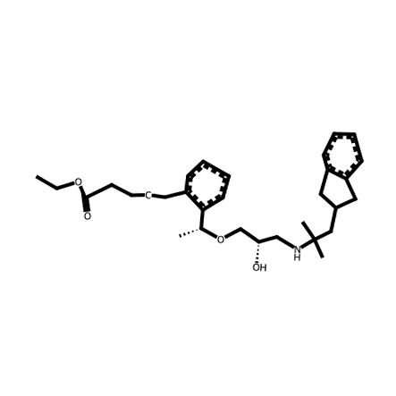 CCOC(=O)CCCCc1ccccc1[C@@H](C)OC[C@@H](O)CNC(C)(C)CC1Cc2ccccc2C1